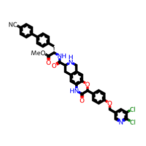 COC(=O)[C@H](Cc1ccc(-c2ccc(C#N)cc2)cc1)NC(=O)C1Cc2cc3c(cc2CN1)OC(c1ccc(OCc2cnc(Cl)c(Cl)c2)cc1)C(=O)N3